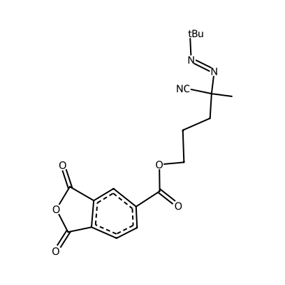 CC(C)(C)N=NC(C)(C#N)CCCOC(=O)c1ccc2c(c1)C(=O)OC2=O